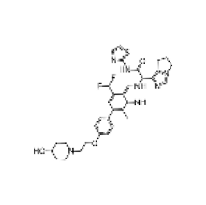 CC1=C(c2ccc(OCCN3CCC(O)CC3)cc2)C=C(C(F)F)/C(=C/NC(C(=O)Nc2nccs2)c2ncn3c2CCC3)C1=N